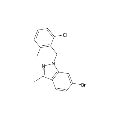 Cc1cccc(Cl)c1Cn1nc(C)c2ccc(Br)cc21